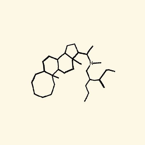 CCCC(CN(C)C(C)C1CCC2C3CCC4CCCCCCC4(C)C3CCC21C)C(C)CC